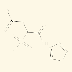 O=C(O)CC(C(=O)O)S(=O)(=O)O.c1cscn1